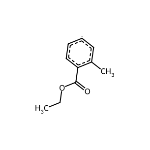 CCOC(=O)c1cc[c]cc1C